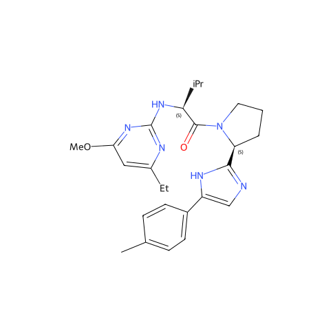 CCc1cc(OC)nc(N[C@H](C(=O)N2CCC[C@H]2c2ncc(-c3ccc(C)cc3)[nH]2)C(C)C)n1